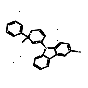 CC1(c2ccccc2)C=C(n2c3ccccc3c3cc(Br)ccc32)C=CC1